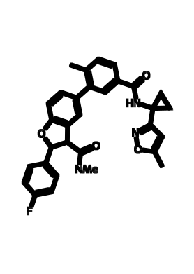 CNC(=O)C1c2cc(-c3cc(C(=O)NC4(c5cc(C)on5)CC4)ccc3C)ccc2OC1c1ccc(F)cc1